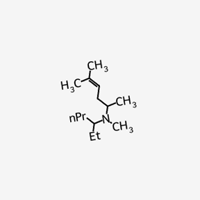 CCCC(CC)N(C)C(C)CC=C(C)C